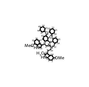 COc1ccc2[nH]c(C)c(CCN(Cc3cccc(Oc4ccccc4)c3)N(CCc3c[nH]c4c(OC)cccc34)Cc3cccc(Oc4ccccc4)c3)c2c1